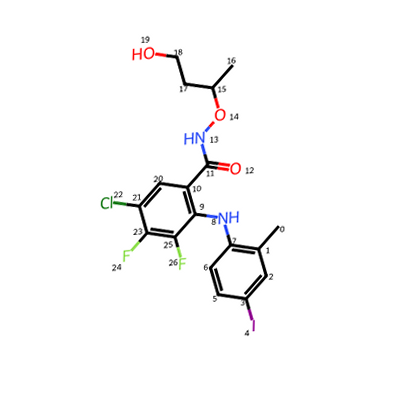 Cc1cc(I)ccc1Nc1c(C(=O)NOC(C)CCO)cc(Cl)c(F)c1F